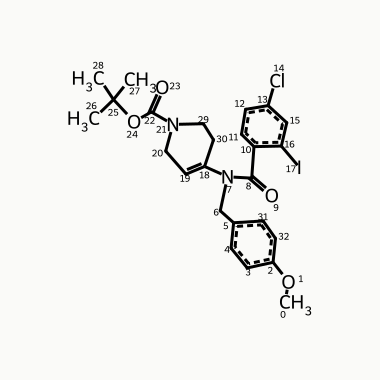 COc1ccc(CN(C(=O)c2ccc(Cl)cc2I)C2=CCN(C(=O)OC(C)(C)C)CC2)cc1